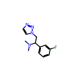 CN(C)C(Cn1ccnn1)c1cccc(F)c1